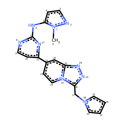 Cn1nccc1Nc1nccc(-c2ccn3c(Cn4cccc4)nnc3c2)n1